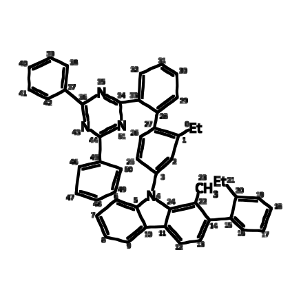 CCc1cc(-n2c3ccccc3c3ccc(-c4ccccc4CC)c(C)c32)ccc1-c1ccccc1-c1nc(-c2ccccc2)nc(-c2ccccc2)n1